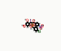 COc1cc(OC)c(C(I)=C(C(=O)c2ccc([N+](=O)[O-])cc2)S(=O)(=O)Cc2ccc(Cl)cc2)c(OC)c1